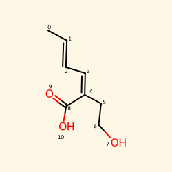 CC=CC=C(CCO)C(=O)O